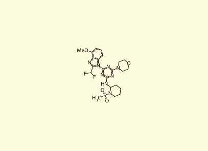 COc1cccc2c1nc(C(F)F)n2-c1nc(NC2CCCCN2S(C)(=O)=O)nc(N2CCOCC2)n1